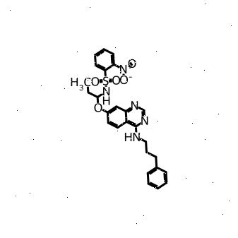 CCC(NS(=O)(=O)c1ccccc1[N+](=O)[O-])Oc1ccc2c(NCCCc3ccccc3)ncnc2c1